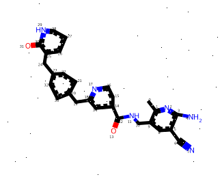 Cc1nc(N)c(C#N)cc1CNC(=O)c1ccnc(Cc2ccc(Cc3ccc[nH]c3=O)cc2)c1